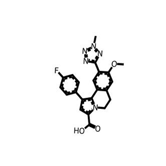 COc1cc2c(cc1-c1nnn(C)n1)-c1c(-c3ccc(F)cc3)cc(C(=O)O)n1CC2